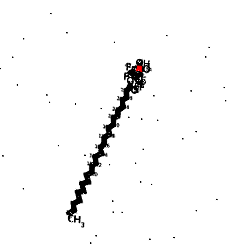 CCCCCCCCCCCCCCCCCCCCCCCCCCCCC(=O)OC(CS(=O)(=O)O)(C(F)(F)F)C(F)(F)F